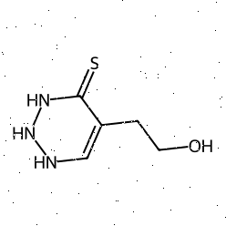 OCCC1=CNNNC1=S